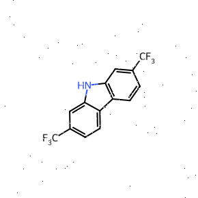 FC(F)(F)c1ccc2c(c1)[nH]c1cc(C(F)(F)F)ccc12